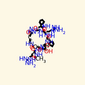 CC(=O)N[C@@H](CCCNC(=N)N)C(=O)N[C@H]1CC(=O)NCCCC[C@@H](C(N)=O)NC(=O)[C@H](Cc2c[nH]c3ccccc23)NC(=O)[C@H](CCCNC(=N)N)NC(=O)[C@@H](Cc2ccccc2)NC(=O)[C@@H]2C[C@@H](O)CN2C1=O